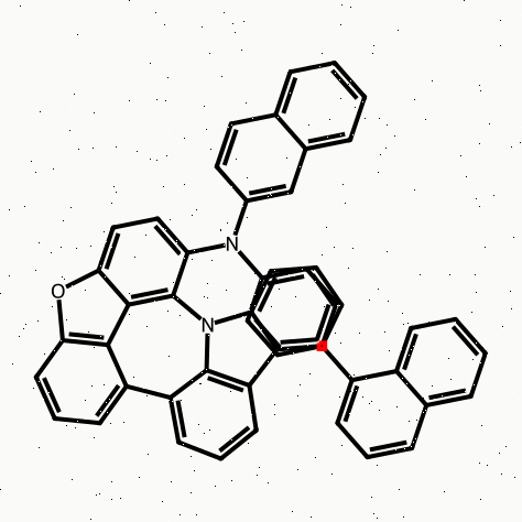 c1ccc2cc(N(c3ccc(-c4cccc5ccccc45)cc3)c3ccc4oc5cccc6c7cccc8c9ccccc9n(c3c4c56)c78)ccc2c1